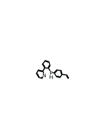 C=Cc1ccc(Pc2ccccc2-c2ccccn2)cc1